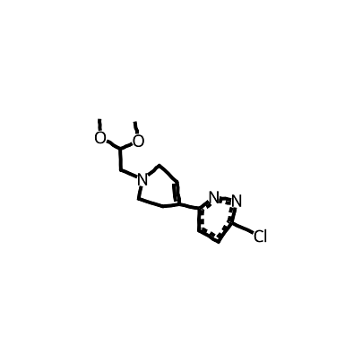 COC(CN1CC=C(c2ccc(Cl)nn2)CC1)OC